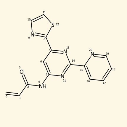 C=CC(=O)Nc1cc(-c2nccs2)nc(-c2ccccn2)n1